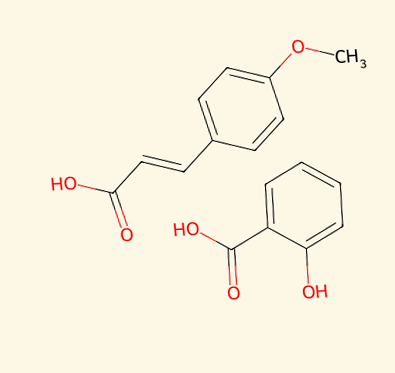 COc1ccc(C=CC(=O)O)cc1.O=C(O)c1ccccc1O